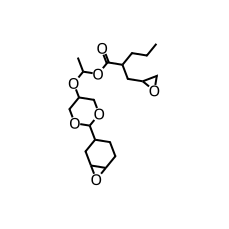 CCCC(CC1CO1)C(=O)OC(C)OC1COC(C2CCC3OC3C2)OC1